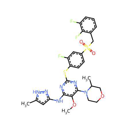 COc1c(Nc2cc(C)[nH]n2)nc(Sc2ccc(S(=O)(=O)Cc3cccc(F)c3F)cc2F)nc1N1CCOCC1C